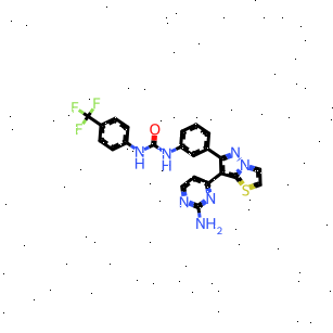 Nc1nccc(-c2c(-c3cccc(NC(=O)Nc4ccc(C(F)(F)F)cc4)c3)nn3ccsc23)n1